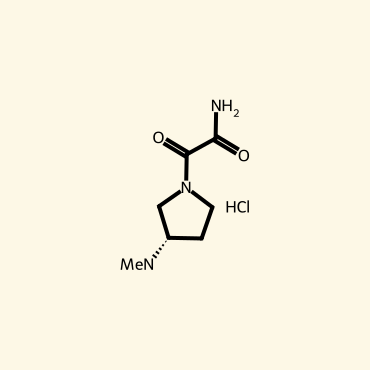 CN[C@H]1CCN(C(=O)C(N)=O)C1.Cl